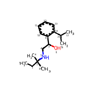 CCC(C)(C)NCC(O)c1ccccc1C(C)C